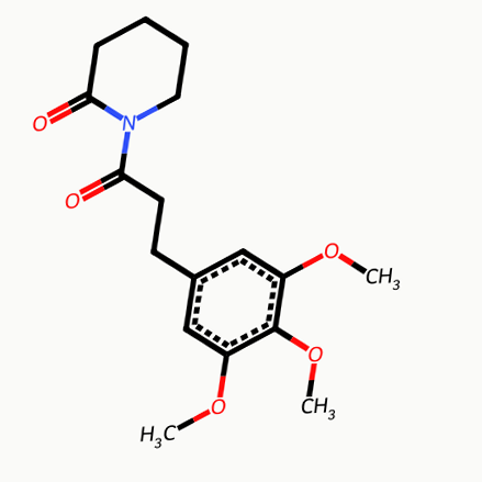 COc1cc(CCC(=O)N2CCCCC2=O)cc(OC)c1OC